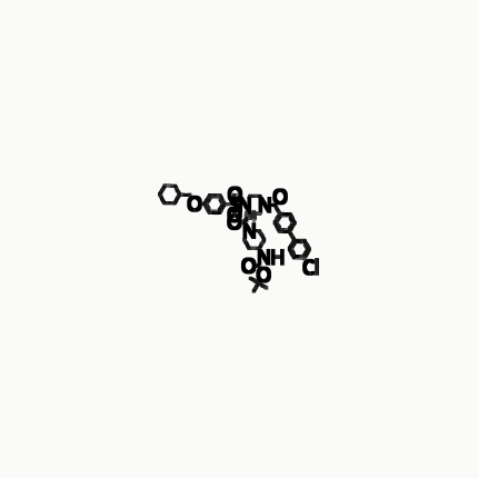 CC(C)(C)OC(=O)NC1CCN(C(=O)[C@@H]2CN(C(=O)c3ccc(-c4ccc(Cl)cc4)cc3)CCN2S(=O)(=O)c2ccc(OCC3CCCCC3)cc2)CC1